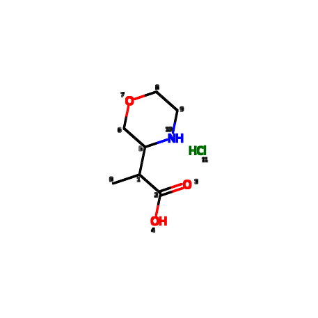 CC(C(=O)O)C1COCCN1.Cl